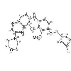 COc1cc(Nc2ccc3ncc(N4CCOCC4)nc3c2C#N)ccc1OCc1ccc(C)s1